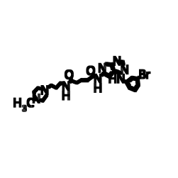 CN1CCN(CCCNC(=O)C/C=C/C(=O)Nc2cc3c(Nc4cccc(Br)c4)ncnc3cn2)CC1